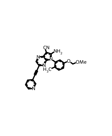 COCOc1ccc(C)c(-n2c(N)c(C#N)c3ncc(C#Cc4cccnc4)nc32)c1